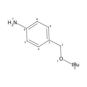 CC(C)(C)OCc1ccc(N)cc1